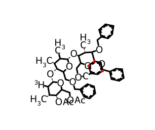 [3H]C1[C@H](O[C@H]2C(COCc3ccccc3)O[C@@H](O[C@@H]3C(COCc4ccccc4)O[C@@H](OCc4ccccc4)C(OCc4ccccc4)[C@H]3C)C(C)[C@H]2C)OC(COC(C)=O)[C@H](OC(C)=O)[C@@H]1C